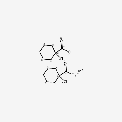 O=C([O-])C1(Cl)CCCCC1.O=C([O-])C1(Cl)CCCCC1.[Hg+2]